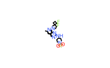 Cc1cc2cnc(NC3CCN(S(C)(=O)=O)CC3)nc2c(N2CCC3(CCC3(F)F)C2)n1